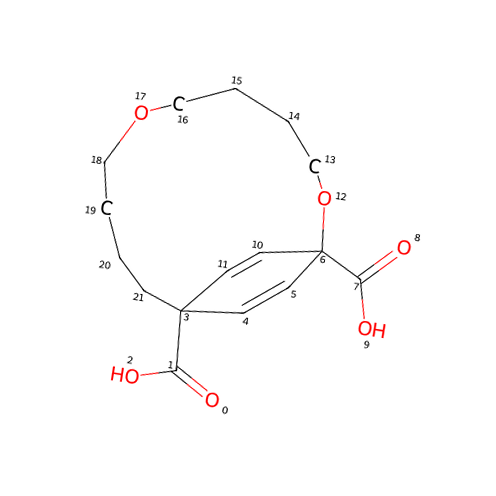 O=C(O)C12C=CC(C(=O)O)(C=C1)OCCCCOCCCC2